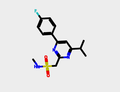 CNS(=O)(=O)Cc1nc(-c2ccc(F)cc2)cc(C(C)C)n1